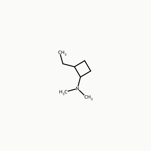 CCC1CCC1N(C)C